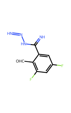 N=NNC(=N)c1cc(F)cc(F)c1C=O